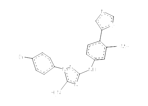 COc1cc(Nc2nc(N)n(-c3ccc(Br)cc3)n2)ccc1-c1cnco1